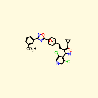 O=C(O)c1cccc(-c2noc(C34CCC(C=Cc5c(-c6c(Cl)cncc6Cl)noc5C5CC5)(CC3)CO4)n2)c1